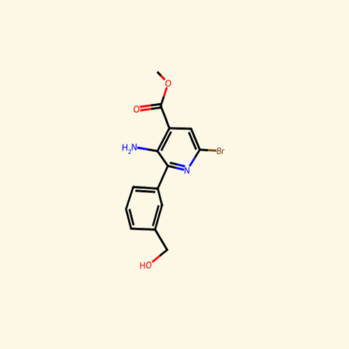 COC(=O)c1cc(Br)nc(-c2cccc(CO)c2)c1N